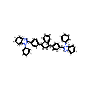 c1ccc(-n2c(-c3ccc(-c4ccc(-c5ccc(-c6nc7ccccc7n6-c6ccccc6)cc5)c5ccccc45)cc3)nc3ccccc32)cc1